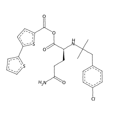 CC(C)(Cc1ccc(Cl)cc1)N[C@@H](CCC(N)=O)C(=O)OC(=O)c1ccc(-c2cccs2)s1